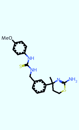 COc1ccc(NC(=S)NCc2cccc(C3(C)CCSC(N)=N3)c2)cc1